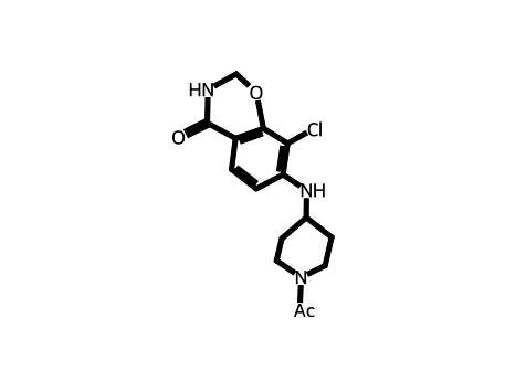 CC(=O)N1CCC(Nc2ccc3c(c2Cl)OCNC3=O)CC1